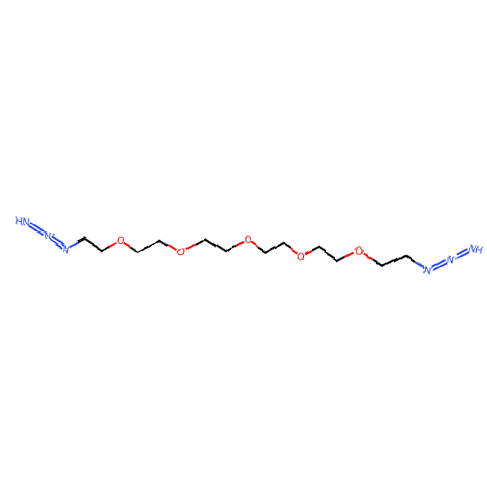 N=[N+]=NCCOCCOCCOCCOCCOCCN=[N+]=N